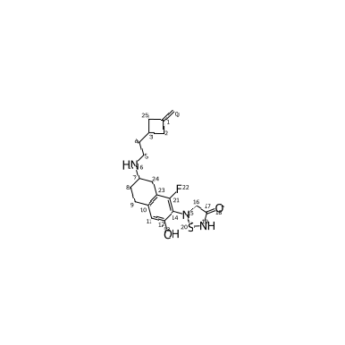 C=C1CC(CCNC2CCc3cc(O)c(N4CC(=O)NS4)c(F)c3C2)C1